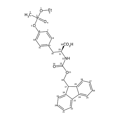 CCOP(C)(=O)Oc1ccc(C[C@H](NC(=O)OCC2c3ccccc3-c3ccccc32)C(=O)O)cc1